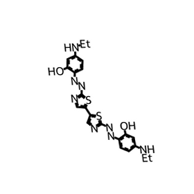 CCNc1ccc(/N=N/c2ncc(-c3cnc(/N=N/c4ccc(NCC)cc4O)s3)s2)c(O)c1